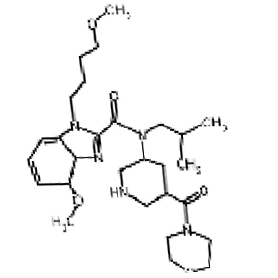 COCCCCN1C2=CC=CC(OC)C2N=C1C(=O)N(CC(C)C)C1CNCC(C(=O)N2CCOCC2)C1